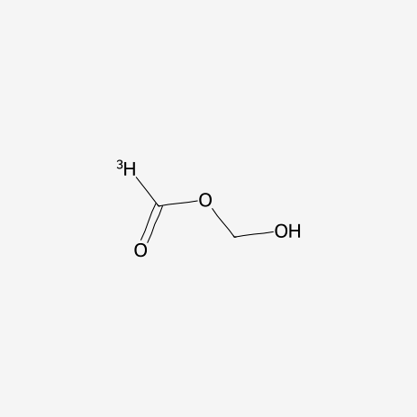 [3H]C(=O)OCO